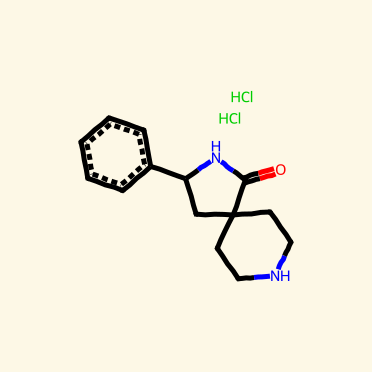 Cl.Cl.O=C1NC(c2ccccc2)CC12CCNCC2